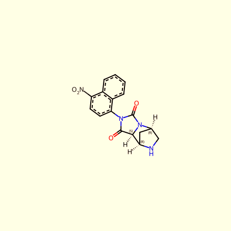 O=C1[C@@H]2[C@H]3C[C@H](CN3)N2C(=O)N1c1ccc([N+](=O)[O-])c2ccccc12